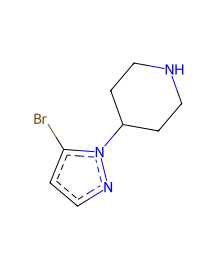 Brc1ccnn1C1CCNCC1